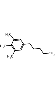 CCCC[CH]c1cc(C)c(C)c(C)c1